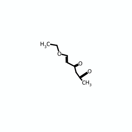 CCOC=CC(=O)CC(C)=O